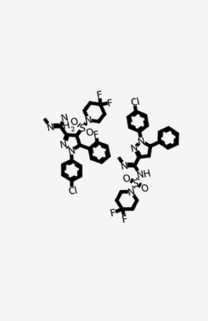 CN=C(N)C1=NN(c2ccc(Cl)cc2)C(c2ccccc2F)C1S(=O)(=O)N1CCC(F)(F)CC1.CN=C(NS(=O)(=O)N1CCC(F)(F)CC1)C1=NN(c2ccc(Cl)cc2)C(c2ccccc2)C1